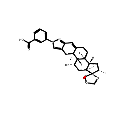 C[C@H]1C[C@H]2[C@@H]3CCC4=Cc5nn(-c6cccc(C(=O)O)c6)cc5C[C@]4(C)[C@@]3(F)[C@@H](O)C[C@]2(C)[C@]12OCOC21COCO1